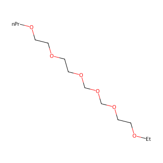 CCCOCCOCCOCOCOCCOCC